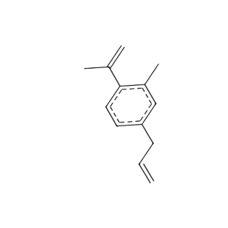 C=CCc1ccc(C(=C)C)c(C)c1